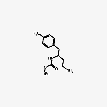 CC(C)(C)OC(=O)N[C@H](CCN)Cc1ccc(C(F)(F)F)cc1